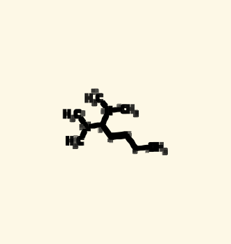 CN(C)C(C=CC[SiH3])N(C)C